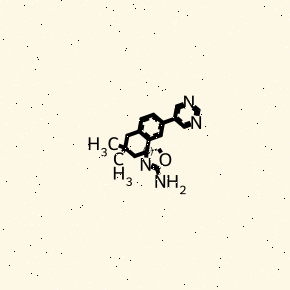 CC1(C)Cc2ccc(-c3cncnc3)cc2[C@]2(COC(N)=N2)C1